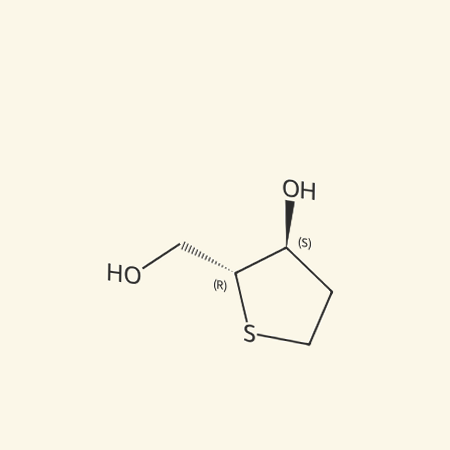 OC[C@H]1SCC[C@@H]1O